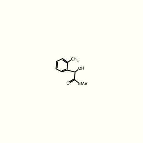 CNC(=O)C(O)c1ccccc1C